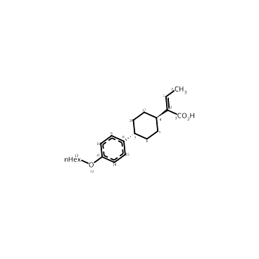 CC=C(C(=O)O)[C@H]1CC[C@H](c2ccc(OCCCCCC)cc2)CC1